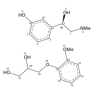 CNC[C@H](O)c1cccc(O)c1.COc1ccccc1OCC(O)CO